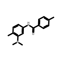 Cc1ccc(C(=O)Nc2ccc(C)c(N(C)C)c2)cc1